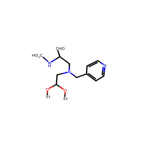 CCOC(CN(Cc1ccncc1)CC(C=O)NC(=O)O)OCC